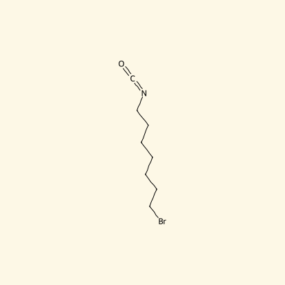 O=C=NCCCCCCCBr